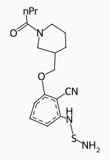 CCCC(=O)N1CCCC(COc2cccc(NSN)c2C#N)C1